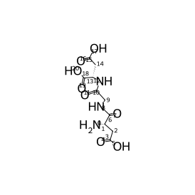 N[C@@H](CC(=O)O)C(=O)NCC(=O)N[C@@H](CC(=O)O)C(=O)O